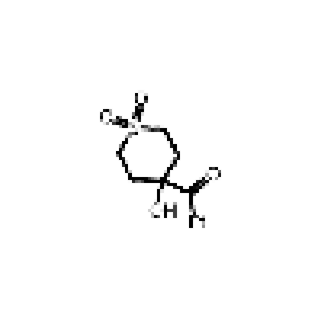 CCC(=O)C1(O)CCS(=O)(=O)CC1